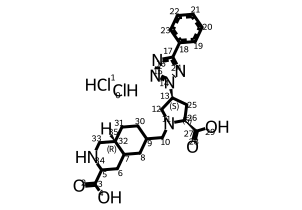 Cl.Cl.O=C(O)C1CC2CC(CN3C[C@@H](n4nnc(-c5ccccc5)n4)C[C@H]3C(=O)O)CC[C@H]2CN1